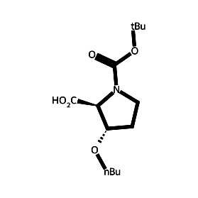 CCCCO[C@H]1CCN(C(=O)OC(C)(C)C)[C@@H]1C(=O)O